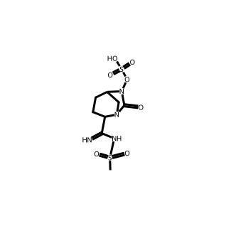 CS(=O)(=O)NC(=N)C1CCC2CN1C(=O)N2OS(=O)(=O)O